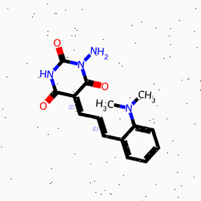 CN(C)c1ccccc1/C=C/C=C1/C(=O)NC(=O)N(N)C1=O